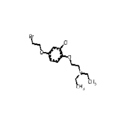 CCN(CC)CCOc1ccc(OCCBr)cc1Cl